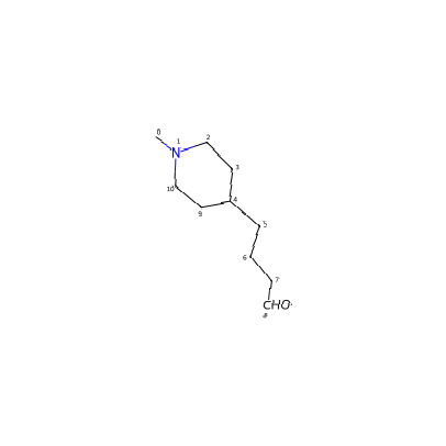 CN1CCC(CCC[C]=O)CC1